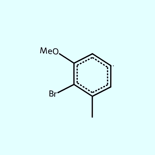 COc1c[c]cc(C)c1Br